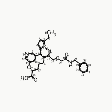 CCc1ccc2c(-c3cncc(C)c3)c(CCCCC(=O)O)c(COCC(=O)NCc3ccccc3)nn12